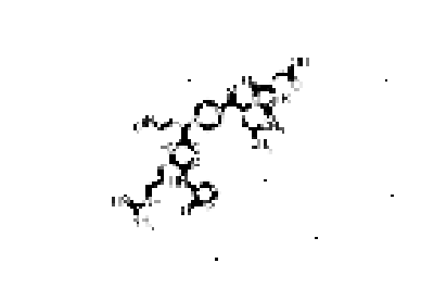 CC(C)C[C@H](C(=O)N1CCN([C@@H](CCN=O)C(=O)N[C@@H](CCCNC(=N)N)C(=O)NC2CCOC2=O)CC1)N1C(=O)N[C@@H](CC(=O)O)C1=O